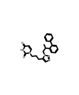 CC(Cn1nncc1CCCn1ccc(=O)[nH]c1=O)c1ccccc1-c1ccccc1